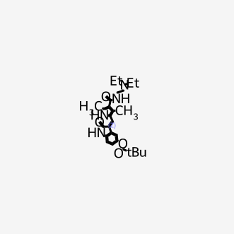 CCN(CC)CCNC(=O)c1c(C)[nH]c(/C=C2\C(=O)Nc3ccc(OC(=O)C(C)(C)C)cc32)c1C